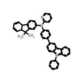 CC1(C)c2cc(N(c3ccc(-c4ccc5c(c4)c4ccccc4n5-c4ccccc4)cc3)c3ccccn3)ccc2C2C=CC=CC21